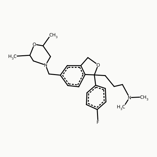 CC1CN(Cc2ccc3c(c2)COC3(CCCN(C)C)c2ccc(F)cc2)CC(C)O1